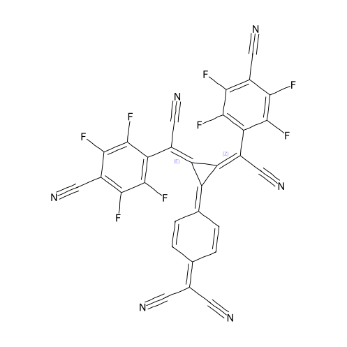 N#CC(C#N)=c1ccc(=C2C(=C(\C#N)c3c(F)c(F)c(C#N)c(F)c3F)/C2=C(\C#N)c2c(F)c(F)c(C#N)c(F)c2F)cc1